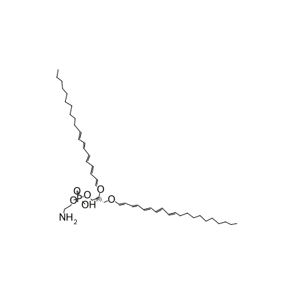 CCCCCCCCCCC=CC=CC=CC=CC=COC[C@H](COP(=O)(O)OCCN)OC=CC=CC=CC=CC=CCCCCCCCCCC